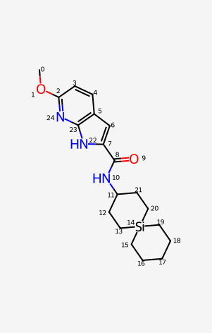 COc1ccc2cc(C(=O)NC3CC[Si]4(CCCCC4)CC3)[nH]c2n1